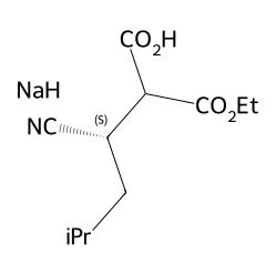 CCOC(=O)C(C(=O)O)[C@@H](C#N)CC(C)C.[NaH]